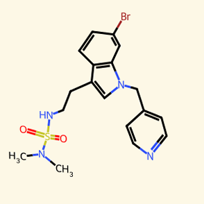 CN(C)S(=O)(=O)NCCc1cn(Cc2ccncc2)c2cc(Br)ccc12